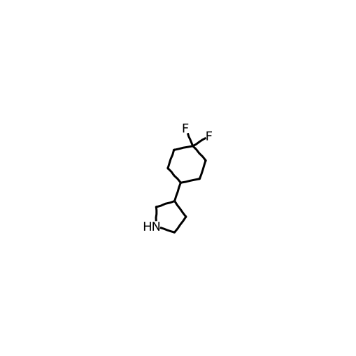 FC1(F)CCC(C2CCNC2)CC1